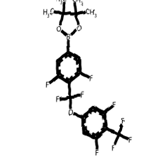 CC1(C)OB(c2cc(F)c(C(F)(F)Oc3cc(F)c(C(F)(F)F)c(F)c3)c(F)c2)OC1(C)C